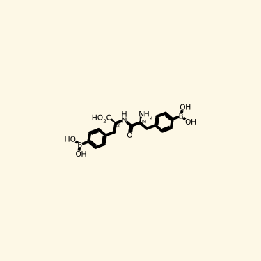 N[C@@H](Cc1ccc(B(O)O)cc1)C(=O)N[C@@H](Cc1ccc(B(O)O)cc1)C(=O)O